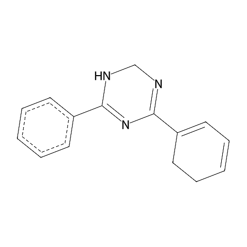 C1=CCCC(C2=NCNC(c3ccccc3)=N2)=C1